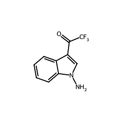 Nn1cc(C(=O)C(F)(F)F)c2ccccc21